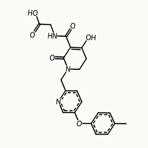 Cc1ccc(Oc2ccc(CN3CCC(O)=C(C(=O)NCC(=O)O)C3=O)nc2)cc1